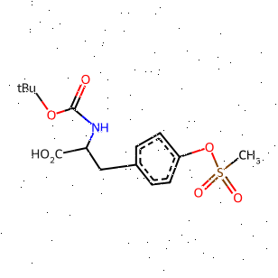 CC(C)(C)OC(=O)NC(Cc1ccc(OS(C)(=O)=O)cc1)C(=O)O